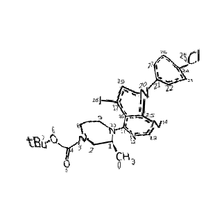 C[C@H]1CN(C(=O)OC(C)(C)C)CCN1c1ncnc2c1c(I)cn2-c1ccc(Cl)cc1